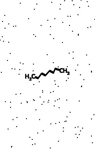 C=C/C=C/C=C/C=C